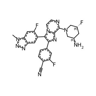 Cn1nnc2cc(-c3c(-c4ccc(C#N)c(F)c4)nc4c(N5C[C@H](N)C[C@@H](F)C5)nccn34)c(F)cc21